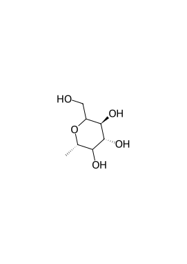 C[C@@H]1OC(CO)[C@@H](O)[C@H](O)C1O